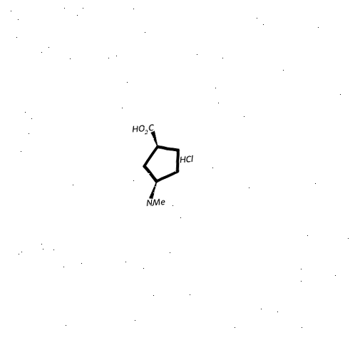 CN[C@@H]1CC[C@H](C(=O)O)C1.Cl